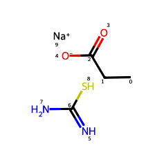 CCC(=O)[O-].N=C(N)S.[Na+]